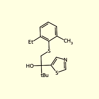 CCc1cccc(C)c1SCC(O)(c1cncs1)C(C)(C)C